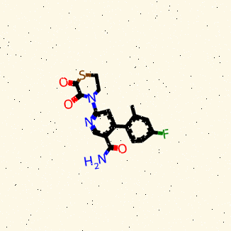 Cc1cc(F)ccc1-c1cc(N2CCSC(=O)C2=O)ncc1C(N)=O